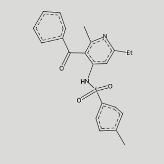 CCc1cc(NS(=O)(=O)c2ccc(C)cc2)c(C(=O)c2ccccc2)c(C)n1